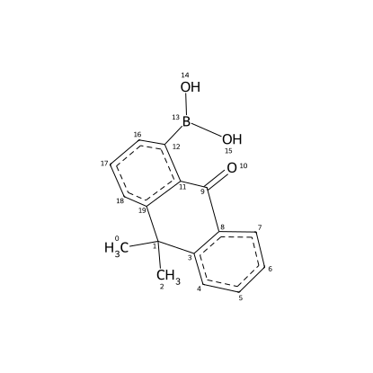 CC1(C)c2ccccc2C(=O)c2c(B(O)O)cccc21